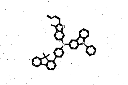 C=C/C=C\c1oc2cc(N(c3ccc(-c4cccc5c4C(C)(C)c4ccccc4-5)cc3)c3ccc4c(c3)c3ccccc3n4-c3ccccc3)ccc2c1C